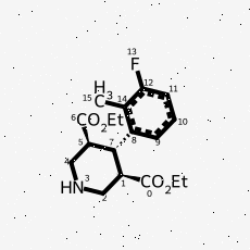 CCOC(=O)[C@H]1CNC[C@@H](C(=O)OCC)[C@@H]1c1cccc(F)c1C